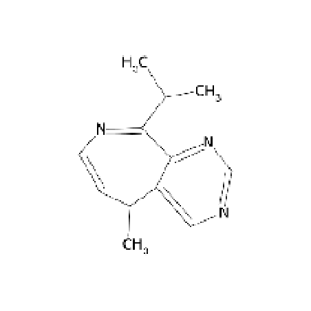 CC(C)C1=NC=CC(C)c2cncnc21